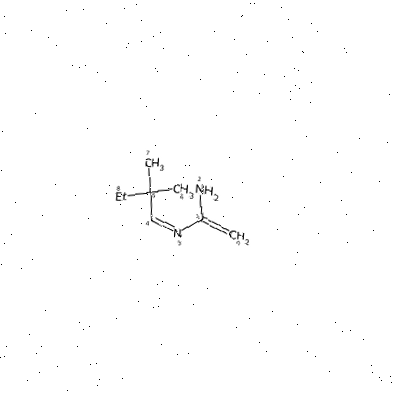 C=C(N)/N=C\C(C)(C)CC